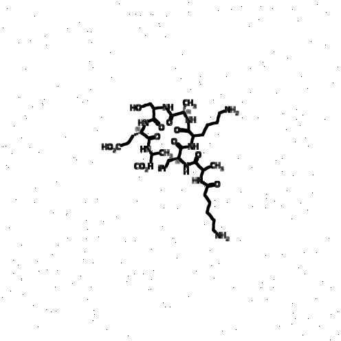 CC(C)C[C@H](NC(=O)C(C)NC(=O)CCCCCN)C(=O)NC(CCCCN)C(=O)N[C@@H](C)C(=O)NC(CO)C(=O)N[C@@H](CCC(=O)O)C(=O)NC(C)C(=O)O